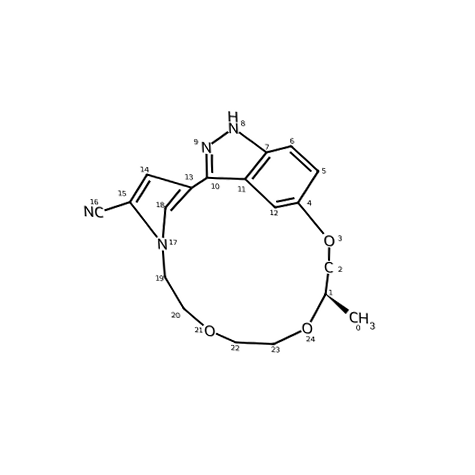 C[C@@H]1COc2ccc3[nH]nc(c3c2)-c2cc(C#N)n(c2)CCOCCO1